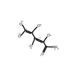 NC(=O)/C(Cl)=C(\Cl)C(Cl)=C(Cl)Cl